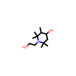 CC1C(O)CC(C)(C)N(CCO)C1(C)C